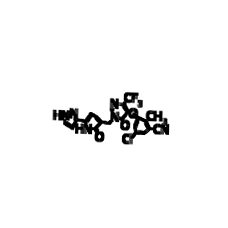 Cc1c(C#N)cc(Cl)cc1Oc1c(C(F)(F)F)ncn(Cc2ccc(-c3cc[nH]n3)[nH]c2=O)c1=O